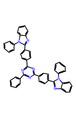 c1ccc(-c2nc(-c3ccc(-c4nc5ccccc5n4-c4ccccc4)cc3)nc(-c3ccc(-c4nc5ccccc5n4-c4ccccc4)cc3)n2)cc1